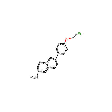 CNc1ccc2cc(-c3ccc(OCC[18F])cc3)ccc2c1